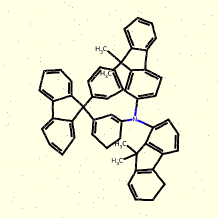 CC1(C)C2=C(CCC=C2)c2cccc(N(C3=CC(C4(c5ccccc5)c5ccccc5-c5ccccc54)=CCC3)c3ccc4c(c3)C(C)(C)c3ccccc3-4)c21